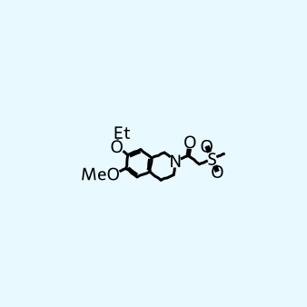 CCOc1cc2c(cc1OC)CCN(C(=O)CS(C)(=O)=O)C2